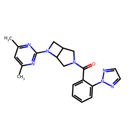 Cc1cc(C)nc(N2CC3CN(C(=O)c4ccccc4-n4nccn4)CC32)n1